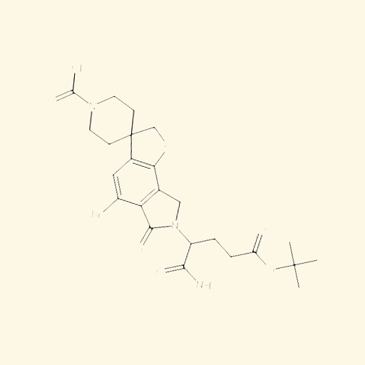 CC(C)(C)OC(=O)CCC(C(N)=O)N1Cc2c3c(cc(Br)c2C1=O)C1(CCN(C(=O)O)CC1)CO3